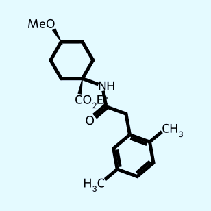 CCOC(=O)[C@]1(NC(=O)Cc2cc(C)ccc2C)CC[C@H](OC)CC1